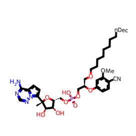 CCCCCCCCCCCCCCCCCCOC[C@H](COP(=O)(O)OC[C@H]1O[C@@](C)(c2ccc3c(N)ncnn23)[C@H](O)[C@@H]1O)Oc1ccc(C#N)c(OC)c1